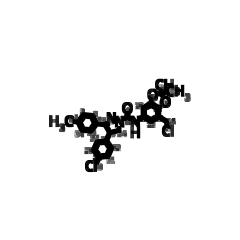 Cc1ccc(C2=NN(C(=O)Nc3cc(CCl)c4c(c3)OC(C)(C)O4)CC2c2ccc(Cl)cc2)cc1